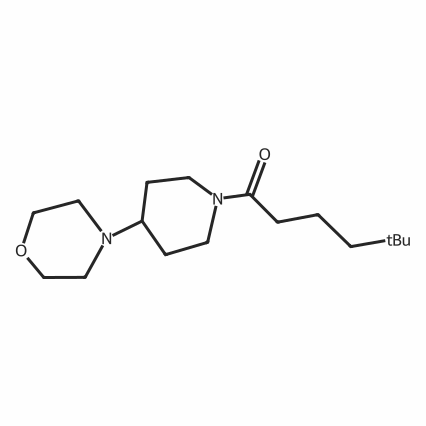 CC(C)(C)CCCC(=O)N1CCC(N2CCOCC2)CC1